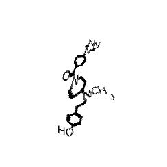 CN(CCc1ccc(O)cc1)C1CCN(C(=O)c2ccc(-n3cnnc3)cc2)CC1